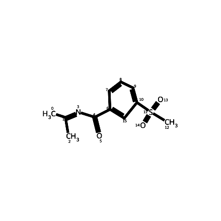 CC(C)=NC(=O)c1cccc(S(C)(=O)=O)c1